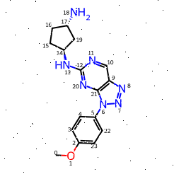 COc1ccc(-n2nnc3cnc(N[C@H]4CC[C@H](N)C4)nc32)cc1